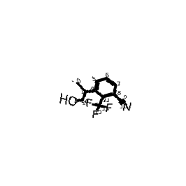 [CH2]C(CO)c1cccc(C#N)c1C(F)(F)F